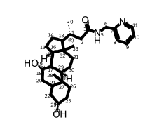 C[C@H](CC(=O)NCc1ccccn1)C1CC[C@H]2C3[C@H](O)CC4C[C@H](O)CCC4(C)[C@H]3CCC12C